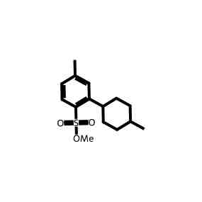 COS(=O)(=O)c1ccc(C)cc1C1CCC(C)CC1